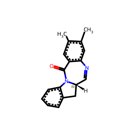 Cc1cc2c(cc1C)C(=O)N1c3ccccc3C[C@H]1C=N2